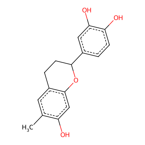 Cc1cc2c(cc1O)OC(c1ccc(O)c(O)c1)CC2